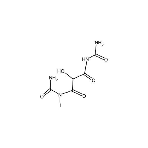 CN(C(N)=O)C(=O)C(O)C(=O)NC(N)=O